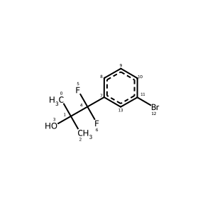 CC(C)(O)C(F)(F)c1cccc(Br)c1